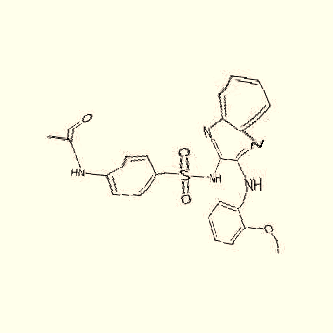 COc1ccccc1Nc1nc2ccccc2nc1NS(=O)(=O)c1ccc(NC(C)=O)cc1